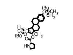 CC(C)(C)[Si](C)(C)Oc1ccc2c(c1)CCC1C2CC[C@@]2(C)C1C[C@@H](O[Si](C)(C)C(C)(C)C)[C@@H]2OC(=O)[C@@H]1CCCN1